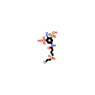 Nc1c(S(=O)(=O)O)cc(NC(=O)CCCS(=O)(=O)CCCl)cc1S(=O)(=O)O